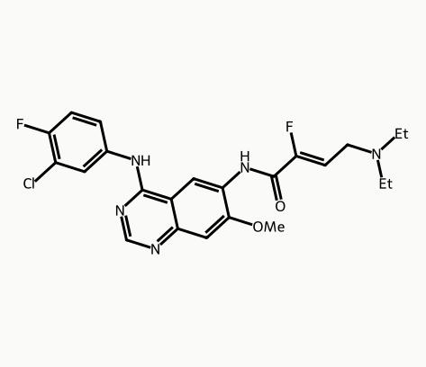 CCN(CC)CC=C(F)C(=O)Nc1cc2c(Nc3ccc(F)c(Cl)c3)ncnc2cc1OC